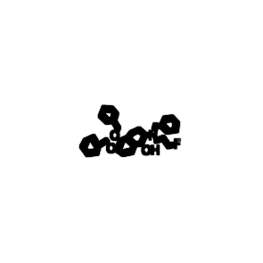 O[C@@H]1c2ccc(OCc3ccccc3)c(OCc3ccccc3)c2CCC1N(CCCF)Cc1ccccc1